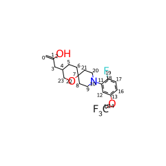 C=C(O)CC1CCC2(CCN(c3cc(OC(F)(F)F)ccc3F)CC2)OC1